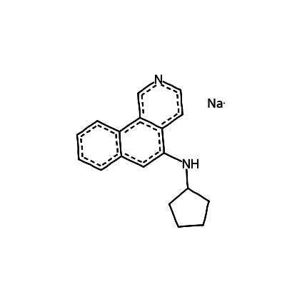 [Na].c1ccc2c(c1)cc(NC1CCCC1)c1ccncc12